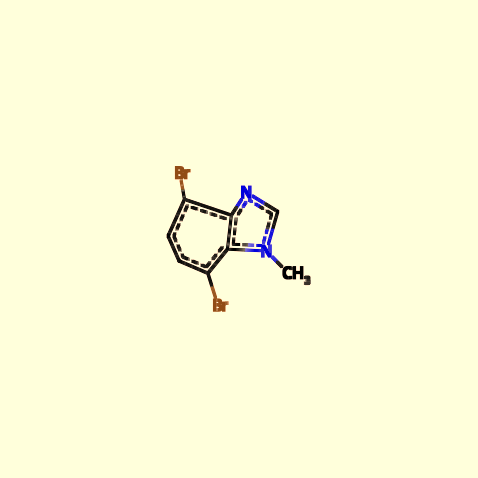 Cn1cnc2c(Br)ccc(Br)c21